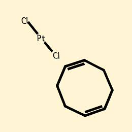 C1=CCCC=CCC1.[Cl][Pt][Cl]